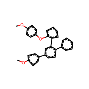 COc1ccc(Oc2ccccc2-c2cc(-c3ccc(OC)cc3)ccc2-c2ccccc2)cc1